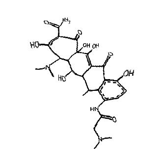 CC1c2c(NC(=O)CN(C)C)ccc(O)c2C(=O)C2=C(O)C3(O)C(=O)C(C(N)=O)=C(O)C(N(C)C)C3C(O)C21